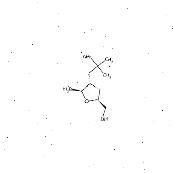 B[C@@H]1O[C@H](CO)C[C@H]1CC(C)(C)CCC